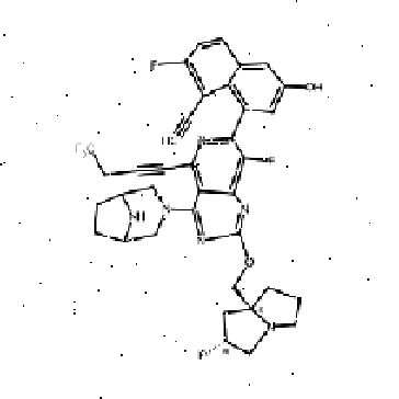 C#Cc1c(F)ccc2cc(O)cc(-c3nc(C#CCC(F)(F)F)c4c(N5CC6CCC(C5)N6)nc(OC[C@@]56CCCN5C[C@H](F)C6)nc4c3F)c12